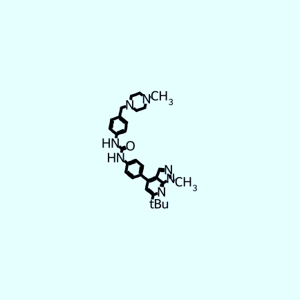 CN1CCN(Cc2ccc(NC(=O)Nc3ccc(-c4cc(C(C)(C)C)nc5c4cnn5C)cc3)cc2)CC1